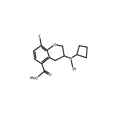 COC(=O)c1ccc(F)c2c1CC(N(C(C)C)C1CCC1)CO2